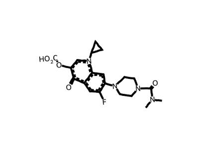 CN(C)C(=O)N1CCN(c2cc3c(cc2F)c(=O)c(OC(=O)O)cn3C2CC2)CC1